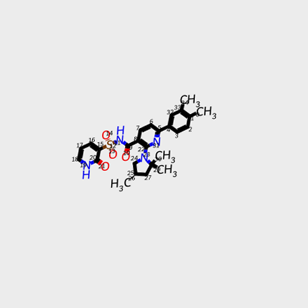 Cc1ccc(-c2ccc(C(=O)NS(=O)(=O)c3ccc[nH]c3=O)c(N3C[C@@H](C)CC3(C)C)n2)cc1C